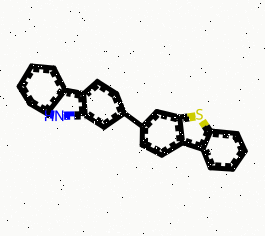 c1ccc2c(c1)[nH]c1cc(-c3ccc4c(c3)sc3ccccc34)ccc12